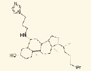 CC(C)CCC[C@@H](C)[C@H]1CCC2C3C[C@@H](NCCCn4ccnc4)C4C[C@@H](O)CC[C@]4(C)C3CC[C@@]21C